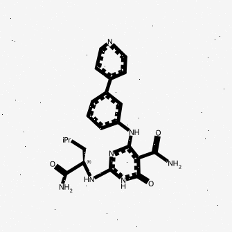 CC(C)C[C@@H](Nc1nc(Nc2cccc(-c3ccncc3)c2)c(C(N)=O)c(=O)[nH]1)C(N)=O